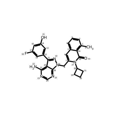 Cc1cccc2cc(Cn3nc(-c4cc(O)cc(F)c4)c4c(N)ncnc43)n(C3CCC3)c(=O)c12